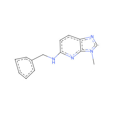 Cn1[c]nc2ccc(NCc3ccccc3)nc21